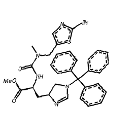 COC(=O)[C@H](CC1CN(C(c2ccccc2)(c2ccccc2)c2ccccc2)C=N1)NC(=O)N(C)Cc1cnc(C(C)C)s1